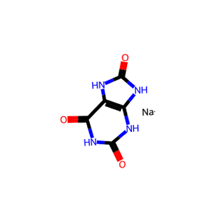 O=c1[nH]c(=O)c2[nH]c(=O)[nH]c2[nH]1.[Na]